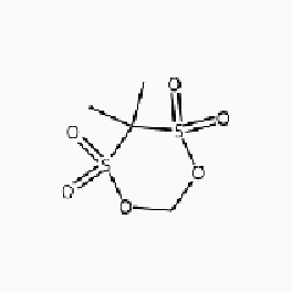 CC1(C)S(=O)(=O)OCOS1(=O)=O